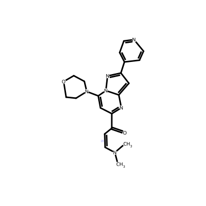 CN(C)/C=C\C(=O)c1cc(N2CCOCC2)n2nc(-c3ccncc3)cc2n1